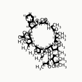 C=C1C(=O)NC(C)C(=O)N(C)C(C)C(=O)NC(C(OC(=O)C(NC(=O)CC)C(O)C(C)C)C(C)C)C(=O)N(C)C(C(C)OC)C(=O)OC(C(C)C)C(NC(C)=O)C(=O)OC(Cc2ccccc2)C(=O)N1C